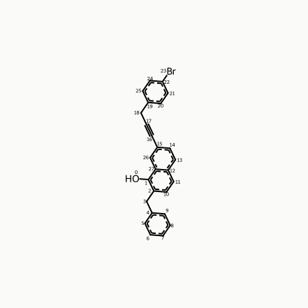 Oc1c(Cc2ccccc2)ccc2ccc(C#CCc3ccc(Br)cc3)cc12